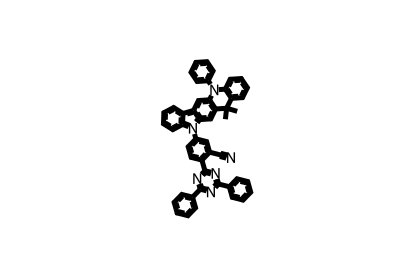 CC1(C)c2ccccc2N(c2ccccc2)c2cc3c4ccccc4n(-c4ccc(-c5nc(-c6ccccc6)nc(-c6ccccc6)n5)c(C#N)c4)c3cc21